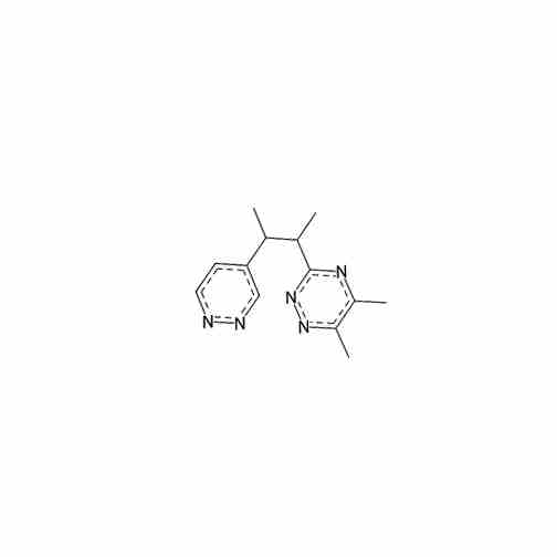 Cc1nnc(C(C)C(C)c2ccnnc2)nc1C